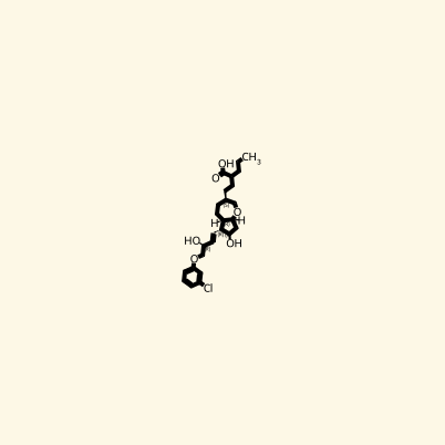 CCCC(CC[C@@H]1CC[C@@H]2[C@@H](C=C[C@@H](O)COc3cccc(Cl)c3)[C@H](O)C[C@@H]2OC1)C(=O)O